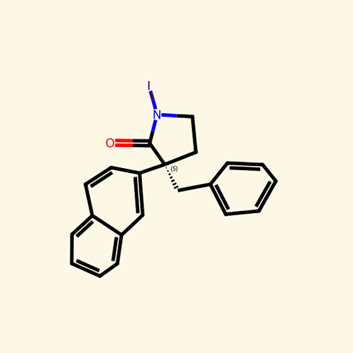 O=C1N(I)CC[C@@]1(Cc1ccccc1)c1ccc2ccccc2c1